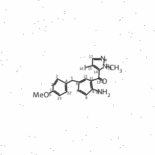 COc1ccc(Cc2ccc(N)c(C(=O)c3c(I)cnn3C)c2)cc1